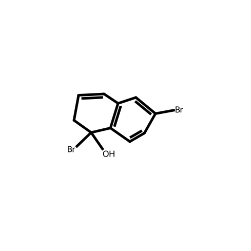 OC1(Br)CC=Cc2cc(Br)ccc21